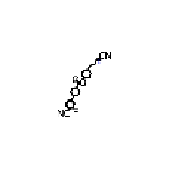 N#C/C=C/CCC1CCC(OC(=O)C2CCC(c3ccc(C#N)c(F)c3)CC2)CC1